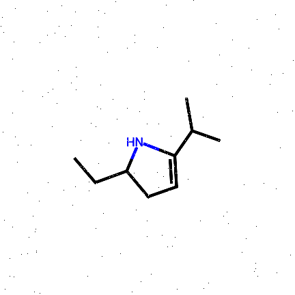 CCC1CC=C(C(C)C)N1